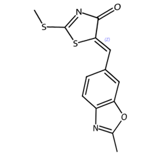 CSC1=NC(=O)/C(=C/c2ccc3nc(C)oc3c2)S1